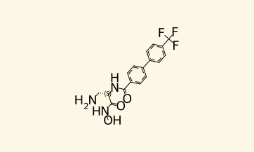 NC[C@H](NC(=O)c1ccc(-c2ccc(C(F)(F)F)cc2)cc1)C(=O)NO